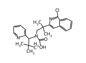 CC(C)(CN(C(=O)O)C(c1ccccn1)C(C)(C)C)c1cc2ccccc2c(Cl)n1